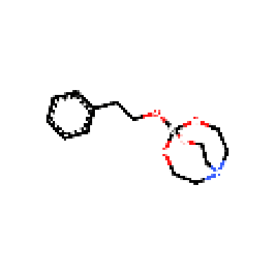 c1ccc(CCO[Si]23OCCN(CCO2)CCO3)cc1